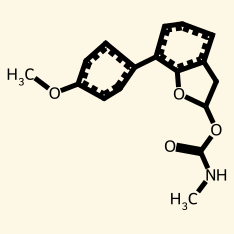 CNC(=O)OC1Cc2cccc(-c3ccc(OC)cc3)c2O1